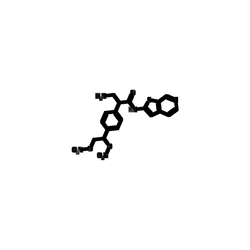 NCC(C(=O)Nc1cc2ccncc2s1)c1ccc(C(CO[N+](=O)[O-])O[N+](=O)[O-])cc1